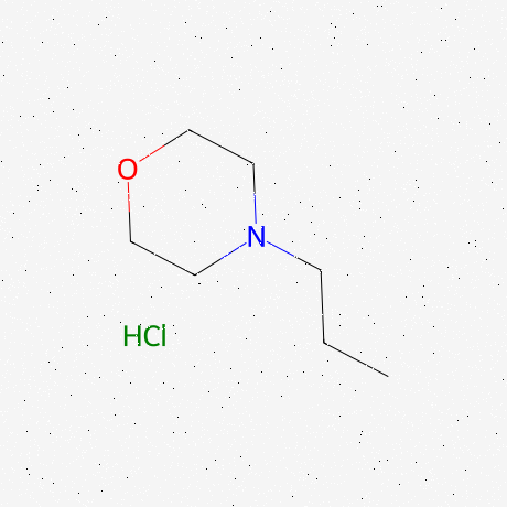 CCCN1CCOCC1.Cl